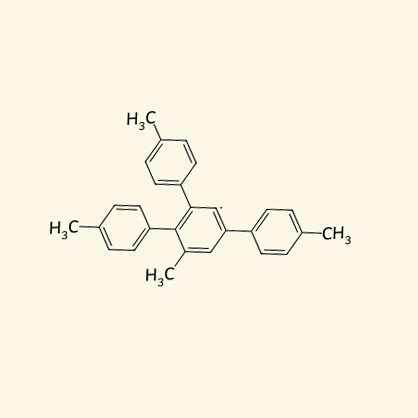 Cc1ccc(-c2[c]c(-c3ccc(C)cc3)c(-c3ccc(C)cc3)c(C)c2)cc1